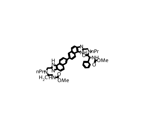 C=C(CNC(=O)OC)N(CCC)Cc1nc2ccc3cc(-c4ccc5c(ccc6nc(CN(CCC)C(=O)[C@H](NC(=O)OC)c7ccccc7)[nH]c65)c4)ccc3c2[nH]1